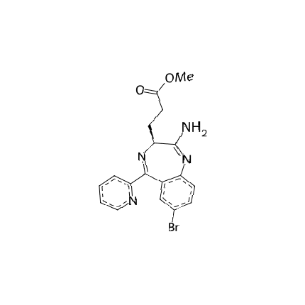 COC(=O)CC[C@@H]1N=C(c2ccccn2)c2cc(Br)ccc2N=C1N